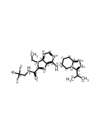 CCn1c(C(=O)NCC(F)(F)F)nc2c(N[C@@H]3CCc4nnc(C(C)C)n4C3)ncnc21